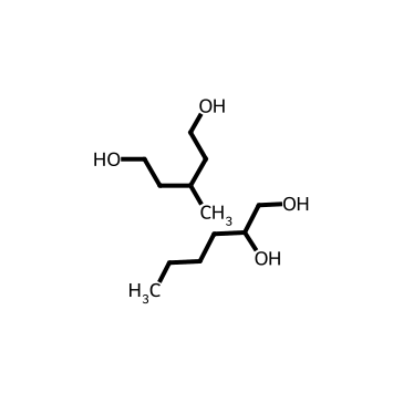 CC(CCO)CCO.CCCCC(O)CO